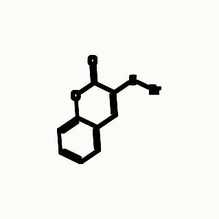 O=c1oc2ccccc2cc1SBr